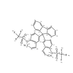 C/C=C\c1cc(C2(c3ccc(OS(=O)(=O)C(F)(F)F)c(/C=C\C)c3)c3ccccc3-c3ccccc32)ccc1OS(=O)(=O)C(F)(F)F